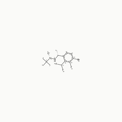 C[C@@H](N[S@@+]([O-])C(C)(C)C)c1ccc(Br)c(F)c1C(F)F